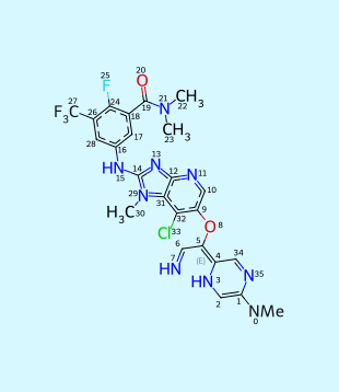 CNC1=CN/C(=C(\C=N)Oc2cnc3nc(Nc4cc(C(=O)N(C)C)c(F)c(C(F)(F)F)c4)n(C)c3c2Cl)C=N1